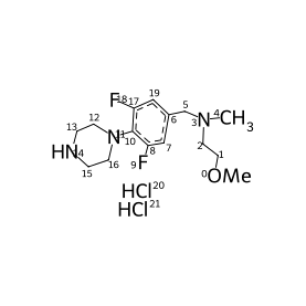 COCCN(C)Cc1cc(F)c(N2CCNCC2)c(F)c1.Cl.Cl